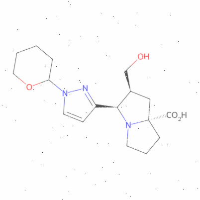 O=C(O)[C@]12CCCN1[C@@H](c1ccn(C3CCCCO3)n1)[C@@H](CO)C2